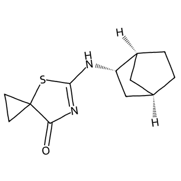 O=C1N=C(N[C@H]2C[C@@H]3CC[C@H]2C3)SC12CC2